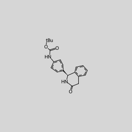 CC(C)(C)OC(=O)Nc1ccc([C@@H]2NC(=O)Cc3ccccc32)cc1